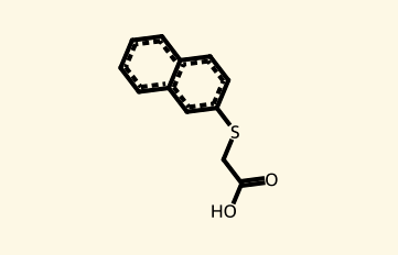 O=C(O)CSc1ccc2ccccc2c1